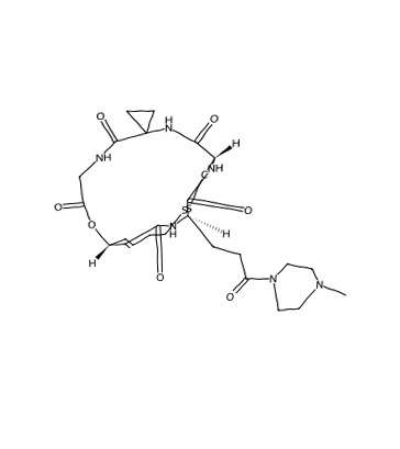 CN1CCN(C(=O)CC[C@H]2NC(=O)C[C@H]3/C=C/CCSSC[C@@H](NC2=O)C(=O)NC2(CC2)C(=O)NCC(=O)O3)CC1